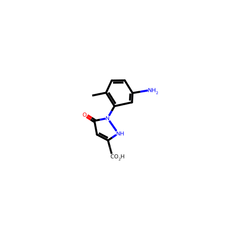 Cc1ccc(N)cc1-n1[nH]c(C(=O)O)cc1=O